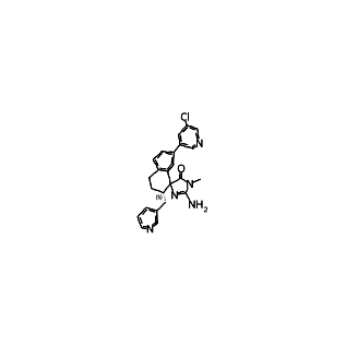 CN1C(=O)C2(N=C1N)c1cc(-c3cncc(Cl)c3)ccc1CC[C@H]2Cc1cccnc1